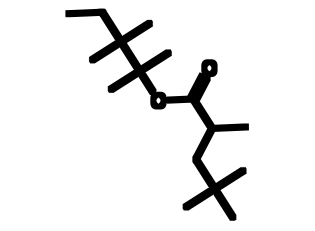 CCC(C)(C)C(C)(C)OC(=O)C(C)CC(C)(C)C